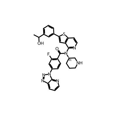 CC(O)c1cccc(-c2cc3c(N(C(=O)c4ccc(-n5nnc6cccnc65)cc4F)[C@@H]4CCCNC4)nccc3s2)c1